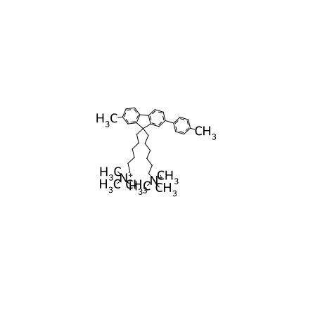 Cc1ccc(-c2ccc3c(c2)C(CCCCCC[N+](C)(C)C)(CCCCCC[N+](C)(C)C)c2cc(C)ccc2-3)cc1